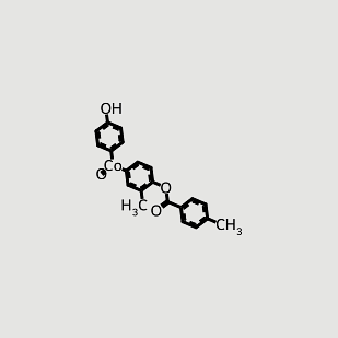 Cc1ccc(C(=O)Oc2cc[c]([Co](=[O])[c]3ccc(O)cc3)cc2C)cc1